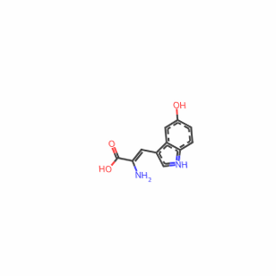 NC(=Cc1c[nH]c2ccc(O)cc12)C(=O)O